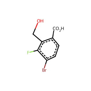 O=C(O)c1ccc(Br)c(F)c1CO